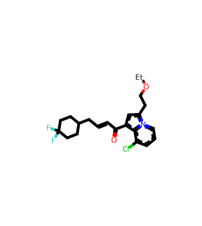 CCOCCc1cc(C(=O)/C=C/CC2CCC(F)(F)CC2)c2c(Cl)cccn12